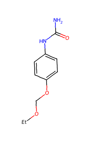 CCOCOc1ccc(NC(N)=O)cc1